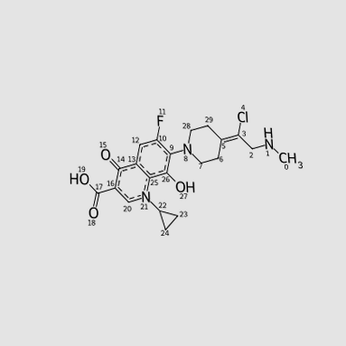 CNCC(Cl)=C1CCN(c2c(F)cc3c(=O)c(C(=O)O)cn(C4CC4)c3c2O)CC1